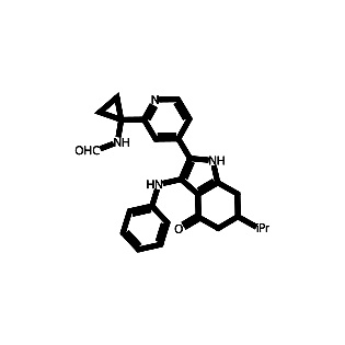 CC(C)C1CC(=O)c2c([nH]c(-c3ccnc(C4(NC=O)CC4)c3)c2Nc2ccccc2)C1